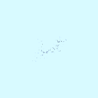 COC1CCC(CN(CC2CCC(OC)CC2)[C@H]2CCCC[C@@H]2Oc2ccc3c(c2)CN(C2CCC(=O)NC2=O)C3=O)CC1